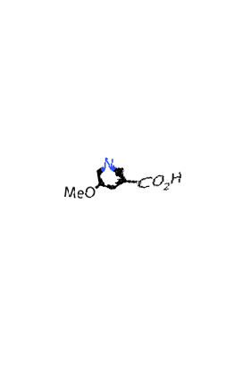 COc1cncc(C(=O)O)c1